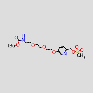 CC(C)(C)OC(=O)NCCOCCOCCOc1ccc(COS(C)(=O)=O)nc1